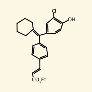 CCOC(=O)/C=C/c1ccc(C(=C2CCCCC2)c2ccc(O)c(Cl)c2)cc1